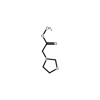 COC(=O)CN1CCOC1